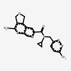 Nc1nc2cnc(C(=O)N(Cc3ccc(C(F)(F)F)nn3)C3CC3)cc2c2c1COC2